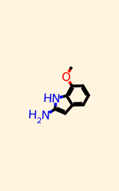 COc1cccc2cc(N)[nH]c12